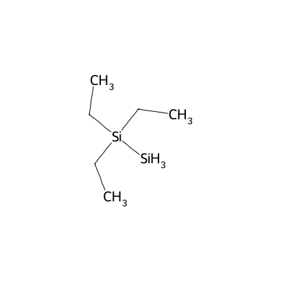 CC[Si]([SiH3])(CC)CC